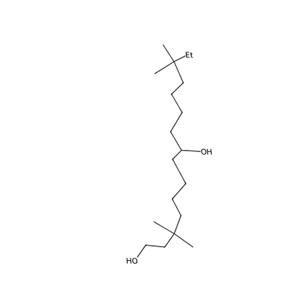 CCC(C)(C)CCCCC(O)CCCCC(C)(C)CCO